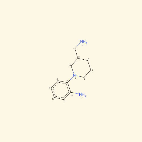 NCC1CCCN(c2ccccc2N)C1